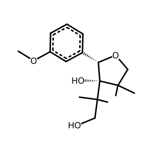 COc1cccc([C@@H]2OCC(C)(C)[C@@]2(O)C(C)(C)CO)c1